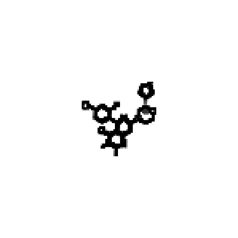 Cc1nc2cc(N3CCO[C@@H](c4ccsc4)C3)nc(-c3ccc(Cl)cc3F)c2c(=O)n1C